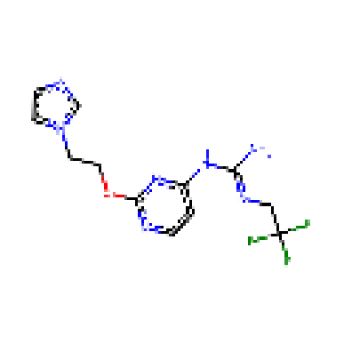 NC(=NCC(F)(F)F)Nc1ccnc(OCCn2ccnc2)n1